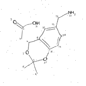 CC(=O)O.CC1(C)OCc2cc(CN)ccc2O1